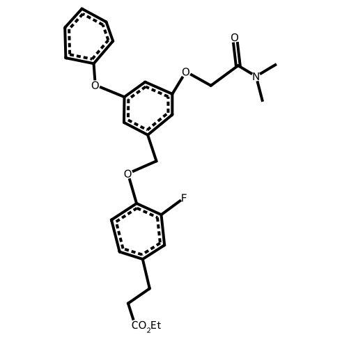 CCOC(=O)CCc1ccc(OCc2cc(OCC(=O)N(C)C)cc(Oc3ccccc3)c2)c(F)c1